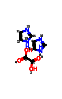 O=C(O)C(=O)O.c1c[nH]cn1.c1c[nH]cn1